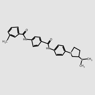 Cc1cccc(C(=O)Nc2ccc(C(=O)Nc3ccc(N4CCC(N(C)C)C4)cc3)cc2)c1